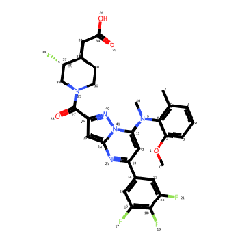 COc1cccc(C)c1N(C)c1cc(-c2cc(F)c(F)c(F)c2)nc2cc(C(=O)N3CCC(CC(=O)O)[C@@H](F)C3)nn12